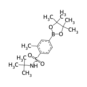 Cc1cc(B2OC(C)(C)C(C)(C)O2)ccc1S(=O)(=O)NC(C)(C)C